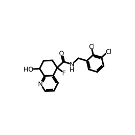 O=C(NCc1cccc(Cl)c1Cl)C1(F)CCC(O)c2ncccc21